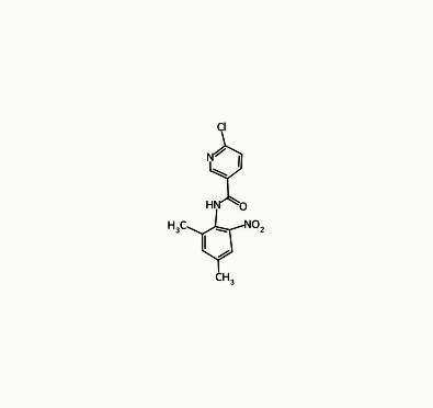 Cc1cc(C)c(NC(=O)c2ccc(Cl)nc2)c([N+](=O)[O-])c1